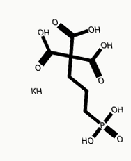 O=C(O)C(CCCP(=O)(O)O)(C(=O)O)C(=O)O.[KH]